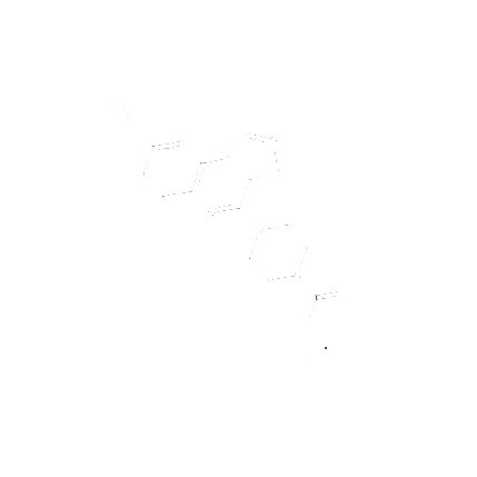 CC(C)(C)OC(=O)N1CCN(c2nc3ccc(C#N)cc3n3nnnc23)CC1